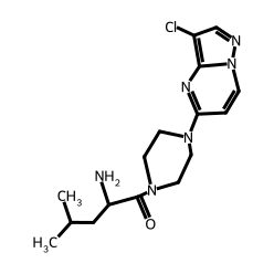 CC(C)CC(N)C(=O)N1CCN(c2ccn3ncc(Cl)c3n2)CC1